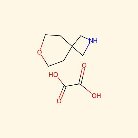 C1CC2(CCO1)CNC2.O=C(O)C(=O)O